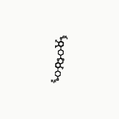 COc1ccc(C2CCC(C(=O)Oc3ccc(C4CCC(OC)CC4)c(F)c3F)CC2)c(F)c1F